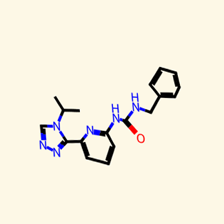 CC(C)n1cnnc1-c1cccc(NC(=O)NCc2ccccc2)n1